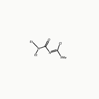 CCN(CC)C(=O)N=C(Cl)SC